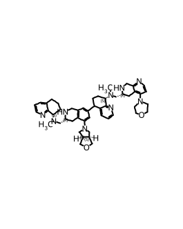 CN(C[C@H]1Cc2c(cc(C3CC[C@H](N(C)C[C@H]4Cc5c(N6CCOCC6)ccnc5CN4)c4ncccc43)cc2N2C[C@H]3COC[C@H]3C2)CN1)[C@H]1CCCc2cccnc21